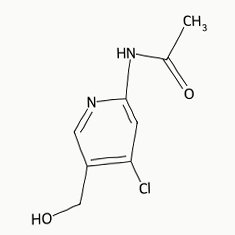 CC(=O)Nc1cc(Cl)c(CO)cn1